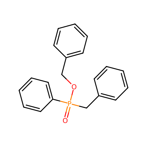 O=P(Cc1ccccc1)(OCc1ccccc1)c1ccccc1